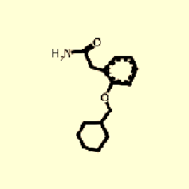 NC(=O)Cc1ccccc1OCC1CCCCC1